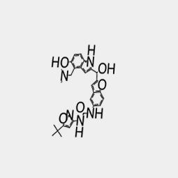 CN(C)Cc1c(O)ccc2[nH]c(C(O)c3cc4cc(NC(=O)Nc5cc(C(C)(C)C)on5)ccc4o3)cc12